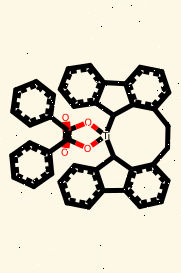 O=C([O][Ti]1([O]C(=O)c2ccccc2)[CH]2c3ccccc3-c3cccc(c32)CCc2cccc3c2[CH]1c1ccccc1-3)c1ccccc1